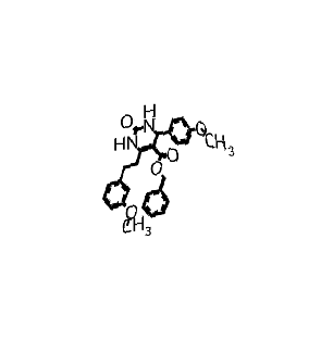 COc1ccc(C2NC(=O)NC(CCc3cccc(OC)c3)=C2C(=O)OCc2ccccc2)cc1